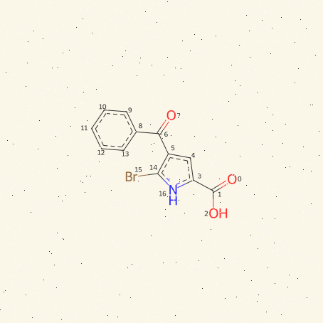 O=C(O)c1cc(C(=O)c2ccccc2)c(Br)[nH]1